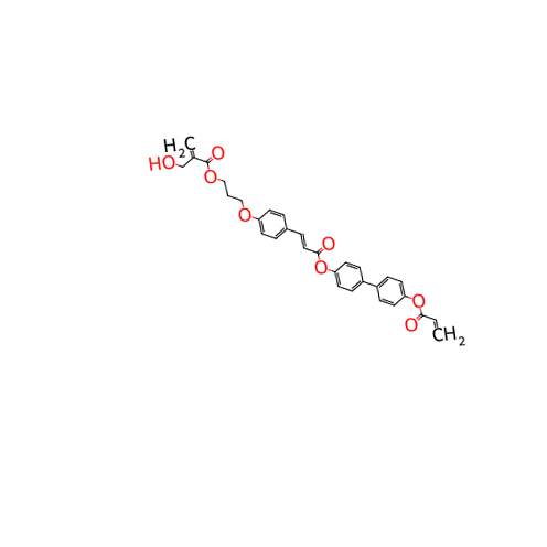 C=CC(=O)Oc1ccc(-c2ccc(OC(=O)/C=C/c3ccc(OCCCOC(=O)C(=C)CO)cc3)cc2)cc1